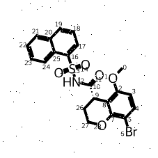 COc1ccc(Br)c2c1[C@@H](C(=O)NS(=O)(=O)c1cccc3ccccc13)CCO2